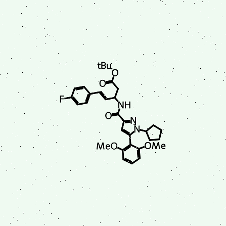 COc1cccc(OC)c1-c1cc(C(=O)NC(/C=C/c2ccc(F)cc2)CC(=O)OC(C)(C)C)nn1C1CCCC1